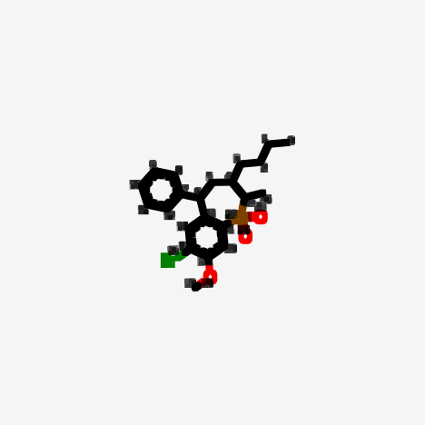 CCCCC1CC(c2ccccc2)c2cc(Br)c(OC)cc2S(=O)(=O)C1C